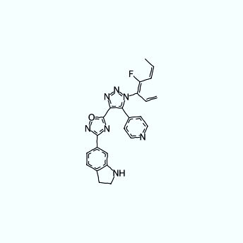 C=C/C(=C(F)\C=C/C)n1nnc(-c2nc(-c3ccc4c(c3)NCC4)no2)c1-c1ccncc1